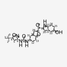 CC(C)(C)c1cc(NC(=O)Nc2ccc3oc(C(=O)c4cc5cc(O)ccc5[nH]4)cc3c2)no1